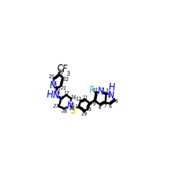 Fc1nc2[nH]ccc2cc1-c1ccc(SN2CCC(Nc3ccc(C(F)(F)F)cn3)CC2)cc1